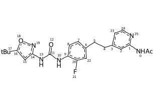 CC(=O)Nc1cc(CCc2ccc(NC(=O)Nc3cc(C(C)(C)C)on3)c(F)c2)ccn1